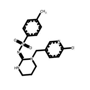 Cc1ccc(S(=O)(=O)N=C2NCCCN2Cc2ccc(Cl)nc2)cc1